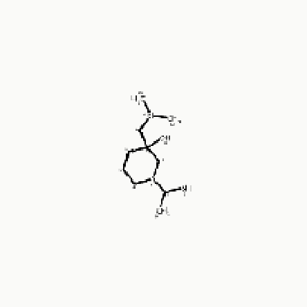 CC(S)N1CCCC(O)(CN(C)C)C1